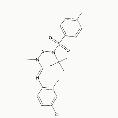 Cc1ccc(S(=O)(=O)N(SN(C)C=Nc2ccc(Cl)cc2C)C(C)(C)C)cc1